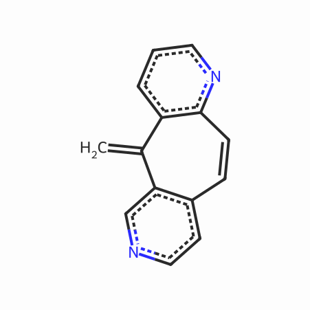 C=C1c2cnccc2C=Cc2ncccc21